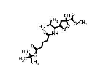 COC(=O)C1(C)CC([C@@H](NC(=O)CCCC(=O)OC(C)(C)C)C(C)C)=NO1